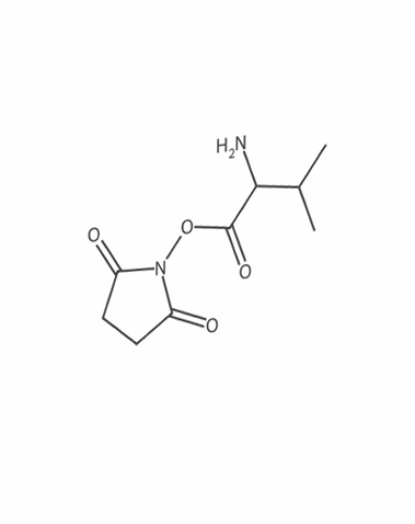 CC(C)C(N)C(=O)ON1C(=O)CCC1=O